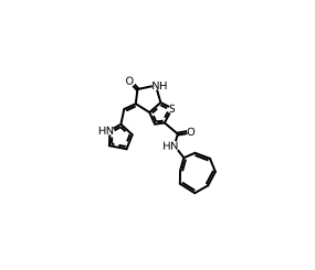 O=C1Nc2sc(C(=O)NC3=CC=CC=CC=C3)cc2/C1=C\c1ccc[nH]1